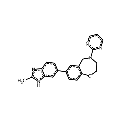 Cc1nc2ccc(-c3ccc4c(c3)CN(c3ncccn3)CCO4)cc2[nH]1